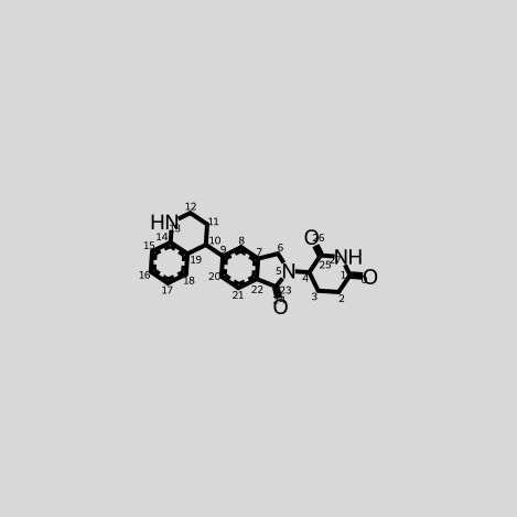 O=C1CCC(N2Cc3cc(C4CCNc5ccccc54)ccc3C2=O)C(=O)N1